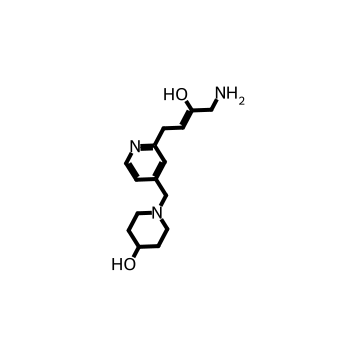 NCC(O)=CCc1cc(CN2CCC(O)CC2)ccn1